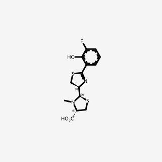 CN1[C@@H](C(=O)O)CS[C@@H]1[C@H]1CSC(c2cccc(F)c2O)=N1